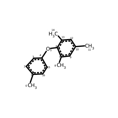 Cc1ccc(Oc2c(C)cc(C)cc2C)cc1